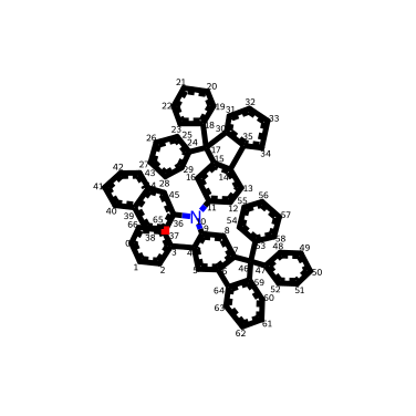 c1ccc(-c2cc3c(cc2N(c2ccc4c(c2)C(c2ccccc2)(c2ccccc2)c2ccccc2-4)c2ccc4ccccc4c2)C(c2ccccc2)(c2ccccc2)c2ccccc2-3)cc1